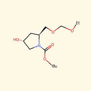 CCOCOC[C@@H]1C[C@@H](O)CN1C(=O)OC(C)(C)C